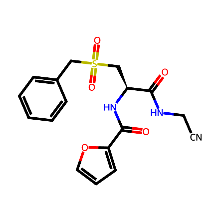 N#CCNC(=O)[C@H](CS(=O)(=O)Cc1ccccc1)NC(=O)c1ccco1